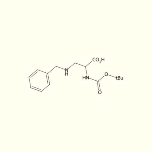 CC(C)(C)OC(=O)NC(CNCc1ccccc1)C(=O)O